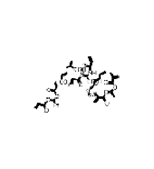 C=C(C)C(=O)O.C=C(C)C(=O)OC(C)OC(=O)C(=C)C.C=CC(=O)NC(NC(=O)C=C)C(=O)O.C=CC(=O)O.C=CC(=O)OC(CC)OC(=O)C=C.C=CC=CCOOC(C)=O